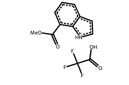 COC(=O)c1cccc2cc[nH]c12.O=C(O)C(F)(F)F